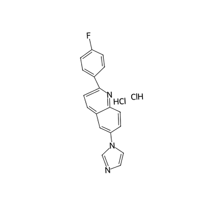 Cl.Cl.Fc1ccc(-c2ccc3cc(-n4ccnc4)ccc3n2)cc1